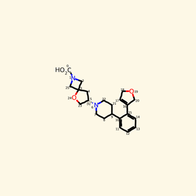 O=C(O)N1CC2(C[C@H](N3CCC(c4ccccc4C4=CCOC4)CC3)CO2)C1